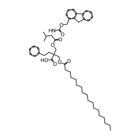 CCCCCCCCCCCCCCCCCC(=O)OCC(CCc1ccccc1)(COC(=O)[C@@H](NC(=O)OCc1cccc2c1Cc1ccccc1-2)C(C)C)C(=O)O